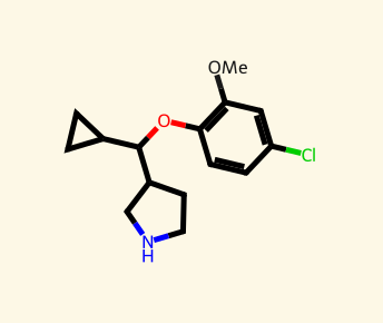 COc1cc(Cl)ccc1OC(C1CC1)C1CCNC1